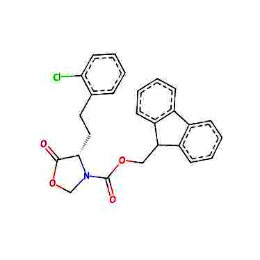 O=C1OCN(C(=O)OCC2c3ccccc3-c3ccccc32)[C@H]1CCc1ccccc1Cl